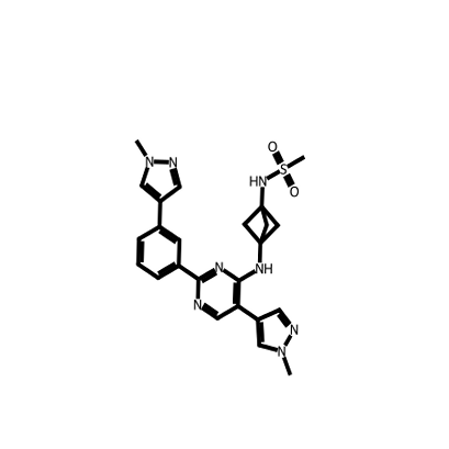 Cn1cc(-c2cccc(-c3ncc(-c4cnn(C)c4)c(NC45CC(NS(C)(=O)=O)(C4)C5)n3)c2)cn1